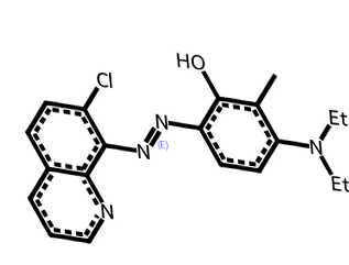 CCN(CC)c1ccc(/N=N/c2c(Cl)ccc3cccnc23)c(O)c1C